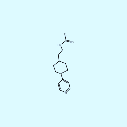 CCC(=O)NCCC1CCN(c2ccncc2)CC1